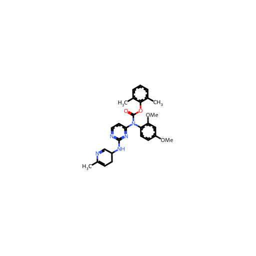 COc1ccc(N(C(=O)Oc2c(C)cccc2C)c2ccnc(NC3C=NC(C)=CC3)n2)c(OC)c1